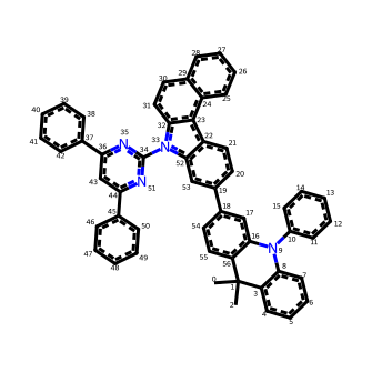 CC1(C)c2ccccc2N(c2ccccc2)c2cc(-c3ccc4c5c6ccccc6ccc5n(-c5nc(-c6ccccc6)cc(-c6ccccc6)n5)c4c3)ccc21